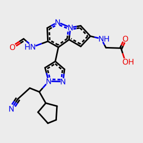 N#CCC(C1CCCC1)n1cc(-c2c(NC=O)cnn3cc(NCC(=O)O)cc23)cn1